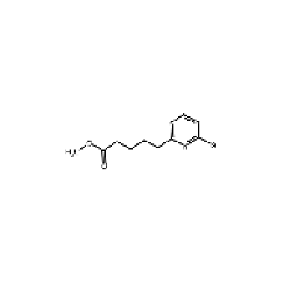 COC(=O)CCCCc1cccc(Br)n1